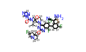 CC(C)C1N(C(=O)n2cncn2)CC12CN(c1nc(OC[C@@]34CCCN3C[C@H](F)C4)nc3c(F)c(-c4ccc(F)c5sc(N)c(C#N)c45)c(Cl)cc13)CCO2